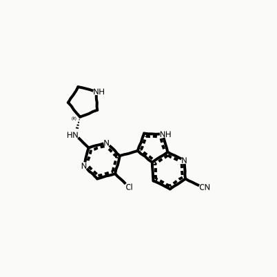 N#Cc1ccc2c(-c3nc(N[C@@H]4CCNC4)ncc3Cl)c[nH]c2n1